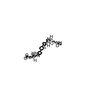 COC(=O)NCCC(=O)Pc1ncc(-c2ccc3c(c2)sc2cc(-c4ccc5nc(PC(=O)CCNC(=O)OC)[nH]c5c4)ccc23)[nH]1